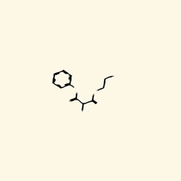 CCCC(C(=O)OCCC(C)C)C(=O)Oc1ccccc1